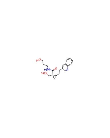 O=C(NCCCO)C1(CO)CC1/C=C/c1cnc2ccccc2c1